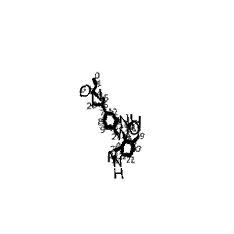 C=CC(=O)N1CC(c2ccc3c(c2)NC(=O)N(c2c(C)ccc4[nH]ncc24)C3)C1